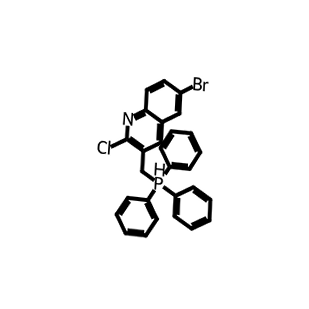 Clc1nc2ccc(Br)cc2cc1C[PH](c1ccccc1)(c1ccccc1)c1ccccc1